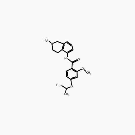 COc1cc(OC(C)C)ccc1C(=O)Nc1cccc2c1CCN(C)C2